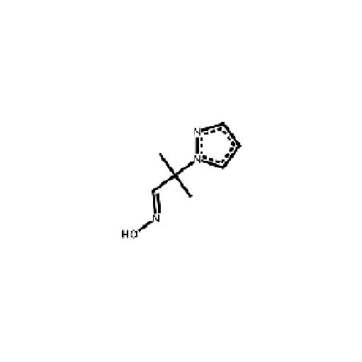 CC(C)(C=NO)n1cccn1